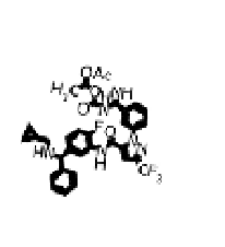 CC(=O)OC(C)OC(=O)NC(=N)c1cccc(-n2nc(C(F)(F)F)cc2C(=O)Nc2cc(C(NCC3CC3)c3ccccc3)ccc2F)c1